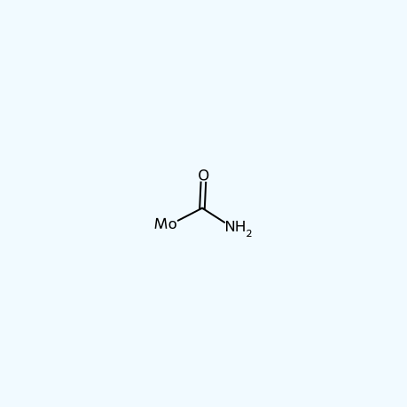 N[C](=O)[Mo]